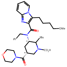 COCCCCc1c(C(=O)N(CC(C)C)[C@H]2C[C@@H](C(=O)N3CCOCC3)CN(C(=O)O)C2C(C)(C)C)nc2ccccn12